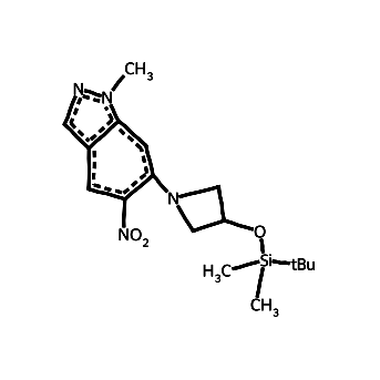 Cn1ncc2cc([N+](=O)[O-])c(N3CC(O[Si](C)(C)C(C)(C)C)C3)cc21